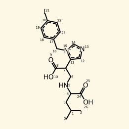 CC(C)CC(NCC(C(=O)O)c1cncn1Cc1ccc(I)cc1)C(=O)O